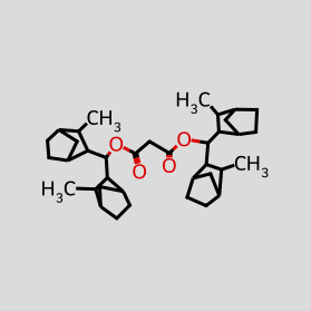 CC1C2CCC(C2)C1C(OC(=O)CC(=O)OC(C1C2CCC(C2)C1C)C1C2CCC(C2)C1C)C1C2CCC(C2)C1C